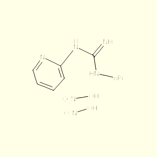 CCCNC(=N)Nc1ccccn1.O=[N+]([O-])O.O=[N+]([O-])O